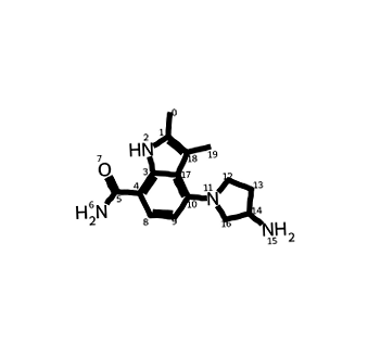 Cc1[nH]c2c(C(N)=O)ccc(N3CCC(N)C3)c2c1C